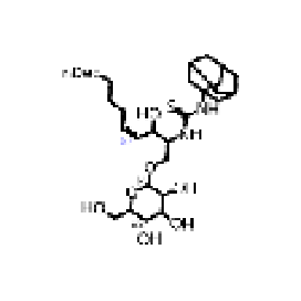 CCCCCCCCCCCCC/C=C\C(O)C(CO[C@@H]1OC(CO)[C@@H](O)C(O)C1O)NC(=S)NC12CC3CC(CC(C3)C1)C2